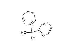 [CH2]CC(O)(c1ccccc1)c1ccccc1